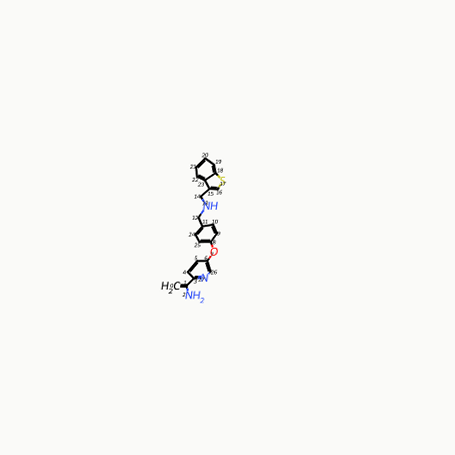 C=C(N)c1ccc(Oc2ccc(CNCc3csc4ccccc34)cc2)cn1